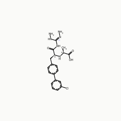 C[C@H](N[C@@H](Cc1ccc(-c2cccc(Cl)c2)cc1)C(=O)N/C(=N/N)NN)C(=O)O